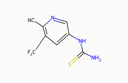 N#Cc1ncc(NC(N)=S)cc1C(F)(F)F